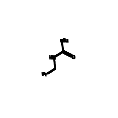 CCCCC(=O)NCC(C)C